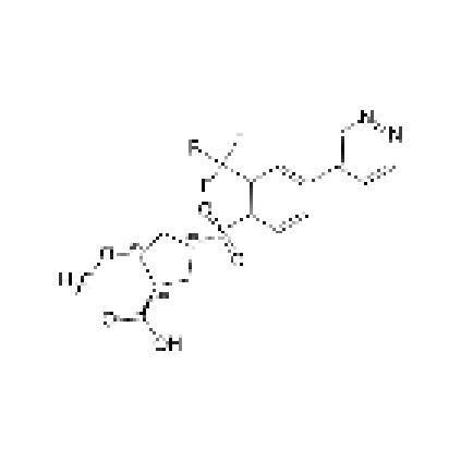 CO[C@@H]1C[C@H](S(=O)(=O)c2ccc(-c3ccnnc3)cc2C(F)(F)F)C[C@H]1C(=O)O